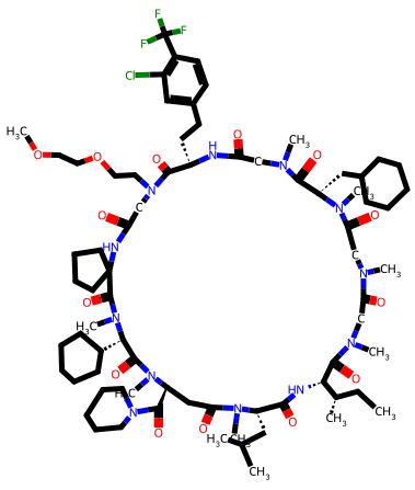 CC[C@H](C)[C@@H]1NC(=O)[C@H](CC(C)C)N(C)C(=O)C[C@@H](C(=O)N2CCCCC2)N(C)C(=O)[C@H](C2CCCCC2)N(C)C(=O)C2(CCCC2)NC(=O)CN(CCOCCOC)C(=O)[C@H](CCc2ccc(C(F)(F)F)c(Cl)c2)NC(=O)CN(C)C(=O)[C@H](CC2CCCCC2)N(C)C(=O)CN(C)C(=O)CN(C)C1=O